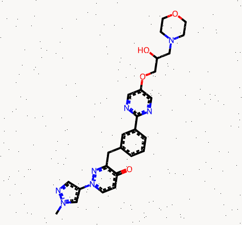 Cn1cc(-n2ccc(=O)c(Cc3cccc(-c4ncc(OCC(O)CN5CCOCC5)cn4)c3)n2)cn1